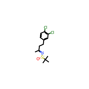 CC(CCc1ccc(Cl)c(Cl)c1)=N[S@@+]([O-])C(C)(C)C